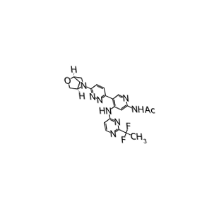 CC(=O)Nc1cc(Nc2ccnc(C(C)(F)F)n2)c(-c2ccc(N3C[C@H]4C[C@@H]3CO4)nn2)cn1